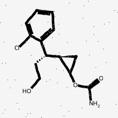 NC(=O)OC1C[C@@H]1[C@H](CCO)c1ccccc1Cl